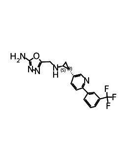 Nc1nnc(CN[C@H]2C[C@@H]2c2ccc(-c3cccc(C(F)(F)F)c3)nc2)o1